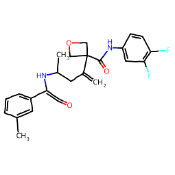 C=C(CC(C)NC(=C=O)c1cccc(C)c1)C1(C(=O)Nc2ccc(F)c(F)c2)COC1